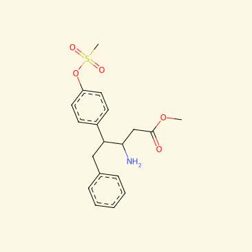 COC(=O)CC(N)C(Cc1ccccc1)c1ccc(OS(C)(=O)=O)cc1